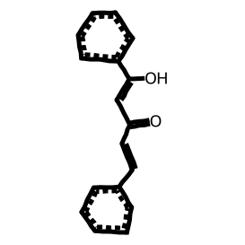 O=C(/C=C(\O)c1ccccc1)/C=C/c1ccccc1